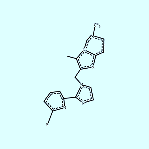 Cc1c(Cn2ccnc2-c2cccc(F)n2)nc2ccc(C(F)(F)F)cn12